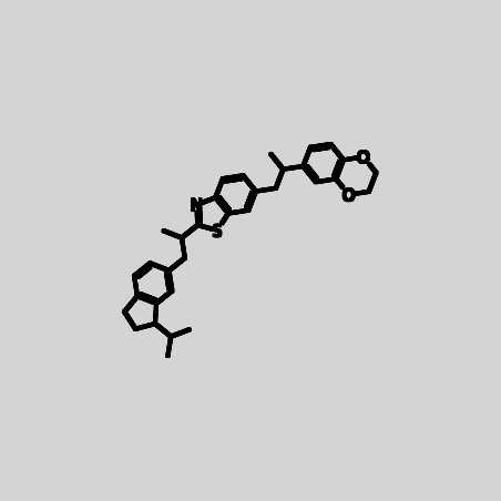 CC(Cc1ccc2nc(C(C)Cc3ccc4c(c3)C(C(C)C)CC4)sc2c1)c1ccc2c(c1)OCCO2